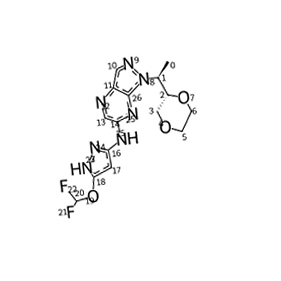 C[C@@H]([C@H]1COCCO1)n1ncc2ncc(Nc3cc(OC(F)F)[nH]n3)nc21